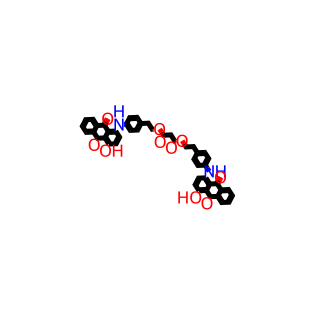 O=C(CC(=O)OCCc1ccc(Nc2ccc(O)c3c2C(=O)c2ccccc2C3=O)cc1)OCCc1ccc(Nc2ccc(O)c3c2C(=O)c2ccccc2C3=O)cc1